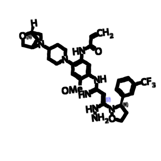 C=CC(=O)Nc1cc(NC(=N)/C=C(\NN)N2OCC[C@@H]2c2cccc(C(F)(F)F)c2)c(OC)cc1N1CCC(N2C[C@@H]3CC2CO3)CC1